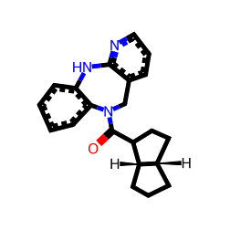 O=C(C1CC[C@@H]2CCC[C@H]12)N1Cc2cccnc2Nc2ccccc21